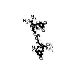 CC(C)c1nc(CCOC(=O)OCCc2nc(C(C)C)c(Sc3cc(Cl)cc(Cl)c3)n2C)n(C)c1Sc1cc(Cl)cc(Cl)c1